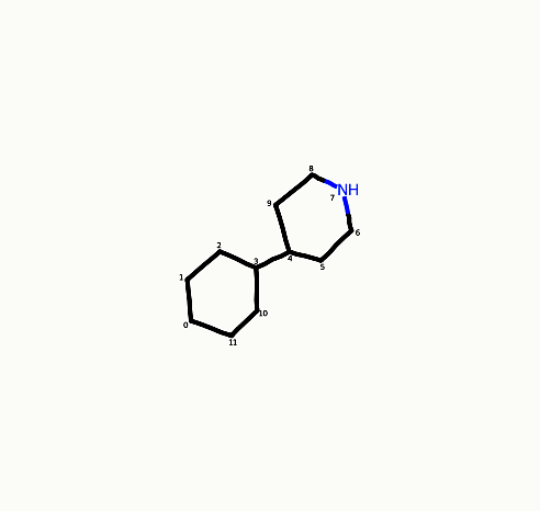 C1CCC([C]2CCNCC2)CC1